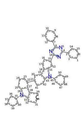 c1ccc(-c2nc(-c3ccccc3)nc(-c3ccc4c5cc(-c6cccc7c6c6ccccc6n7-c6ccccc6)ccc5n(-c5ccccc5)c4c3)n2)cc1